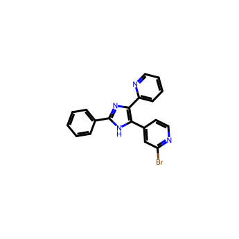 Brc1cc(-c2[nH]c(-c3ccccc3)nc2-c2ccccn2)ccn1